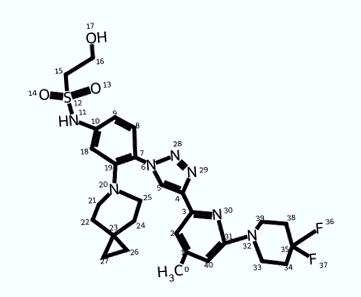 Cc1cc(-c2cn(-c3ccc(NS(=O)(=O)CCO)cc3N3CCC4(CC3)CC4)nn2)nc(N2CCC(F)(F)CC2)c1